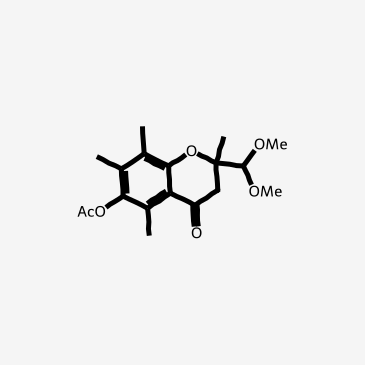 COC(OC)C1(C)CC(=O)c2c(C)c(OC(C)=O)c(C)c(C)c2O1